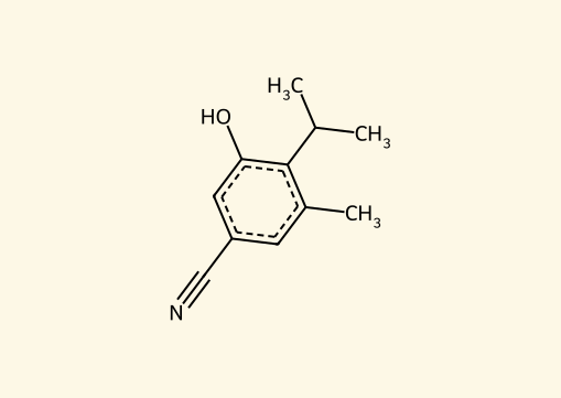 Cc1cc(C#N)cc(O)c1C(C)C